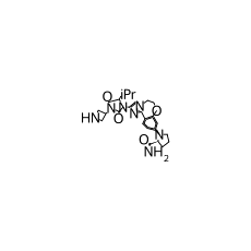 CC(C)C1C(=O)N(C2CNC2)C(=O)N1c1cn2c(n1)-c1ccc(N3CCC[C@H]3C(N)=O)cc1OCC2